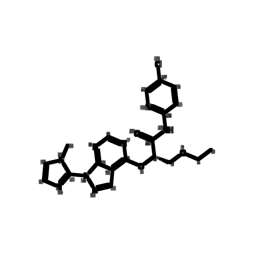 CCOC[C@H](Oc1ncnc2c1cnn2-c1nccn1C)C(=O)Nc1ccc(Cl)cn1